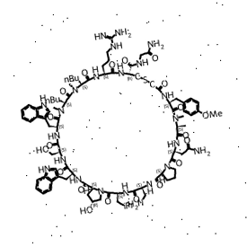 CCCC[C@H]1C(=O)N(C)[C@@H](CCCC)C(=O)N[C@@H](CCCNC(=N)N)C(=O)N[C@H](C(=O)NCC(N)=O)CSCC(=O)N[C@@H](Cc2ccc(OC)cc2)C(=O)N(C)[C@@H](C)C(=O)N[C@@H](CC(N)=O)C(=O)N2CCC[C@H]2C(=O)N[C@@H](CN)C(=O)N[C@@H](CC(C)C)C(=O)N2C[C@H](O)C[C@H]2C(=O)N[C@@H](Cc2c[nH]c3ccccc23)C(=O)N[C@@H](CO)C(=O)N[C@@H](Cc2c[nH]c3ccccc23)C(=O)N1C